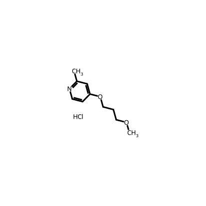 COCCCOc1ccnc(C)c1.Cl